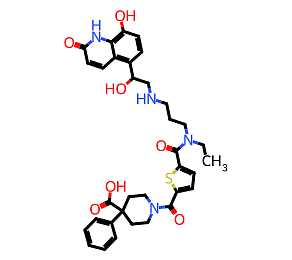 CCN(CCCNCC(O)c1ccc(O)c2[nH]c(=O)ccc12)C(=O)c1ccc(C(=O)N2CCC(C(=O)O)(c3ccccc3)CC2)s1